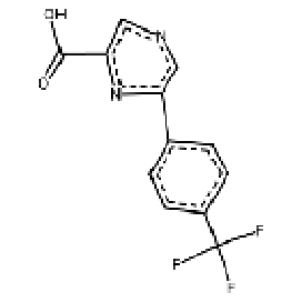 O=C(O)c1cncc(-c2ccc(C(F)(F)F)cc2)n1